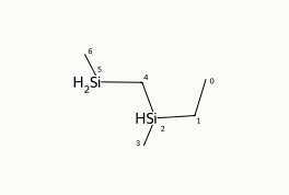 CC[SiH](C)C[SiH2]C